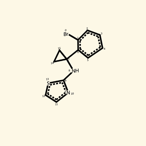 Brc1ccccc1C1(Nc2nccs2)CC1